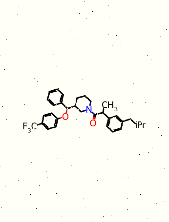 CC(C)Cc1cccc(C(C)C(=O)N2CCC[C@H]([C@@H](Oc3ccc(C(F)(F)F)cc3)c3ccccc3)C2)c1